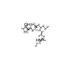 CCCNN(C)C/C(C)=C/CC(CCC)CN1CCC(N2CCCC2O)CC1